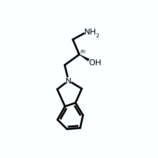 NC[C@@H](O)CN1Cc2ccccc2C1